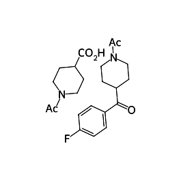 CC(=O)N1CCC(C(=O)O)CC1.CC(=O)N1CCC(C(=O)c2ccc(F)cc2)CC1